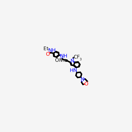 CCNC(=O)c1ccc(NCC#Cc2cc3c(N[C@H]4CC[C@H](N5CCOCC5)CC4)cccc3n2CC(F)(F)F)c(OC)c1